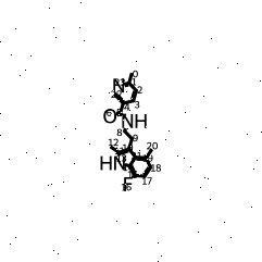 Cc1ccc(C(=O)NCCc2c(C)[nH]c3c(F)ccc(C)c23)cn1